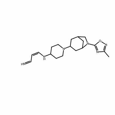 Cc1noc(N2CC3CC(N4CCC(N/C=C\C=N)CC4)CC2C3)n1